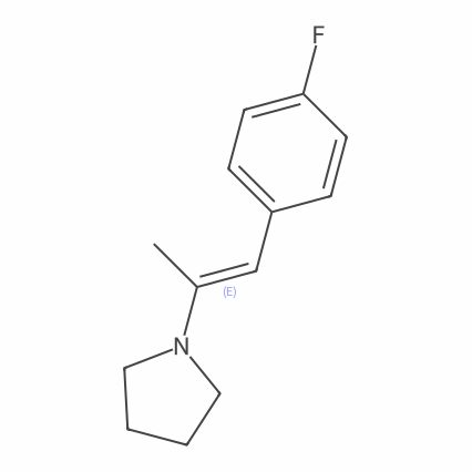 C/C(=C\c1ccc(F)cc1)N1CCCC1